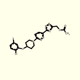 CC(=O)OCc1nnc(-c2ccc(N3CCC(Oc4cc(F)ccc4Cl)CC3)nn2)s1